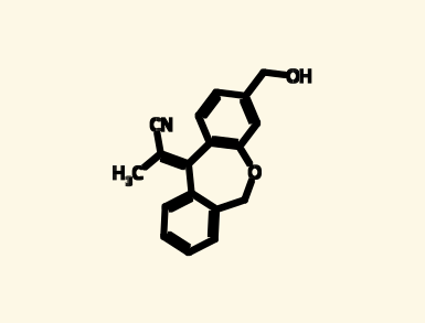 CC(C#N)=C1c2ccccc2COc2cc(CO)ccc21